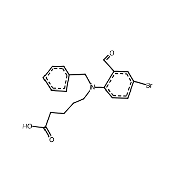 O=Cc1cc(Br)ccc1N(CCCCC(=O)O)Cc1ccccc1